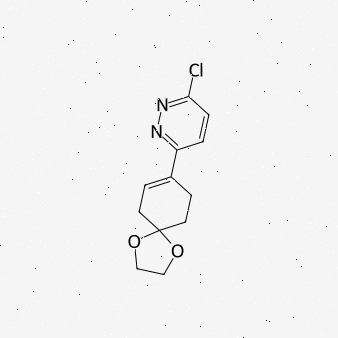 Clc1ccc(C2=CCC3(CC2)OCCO3)nn1